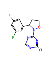 Fc1cc(F)cc(C2CCON2c2ncnc(Cl)n2)c1